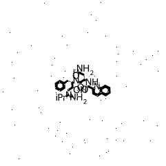 CC(C)N(N)C[C@@H](O)[C@H](Cc1ccccc1)NC(=O)[C@H](CC(N)=O)NC(=O)c1ccc2ccccc2n1